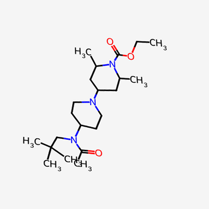 CCOC(=O)N1C(C)CC(N2CCC(N(CC(C)(C)C)C(C)=O)CC2)CC1C